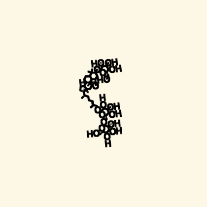 C/C(=C\CC[C@@H](C)[C@H]1CC[C@@]2(C)[C@@H]3CC=C4[C@@H](CC[C@H](O[C@@H]5O[C@H](CO)[C@@H](O)[C@H](O)[C@H]5O)C4(C)C)[C@]3(C)C(=O)C[C@]12C)CO[C@@H]1O[C@H](CO[C@@H]2O[C@H](CO)[C@@H](O)[C@H](O)[C@H]2O)[C@@H](O)[C@H](O)[C@H]1O